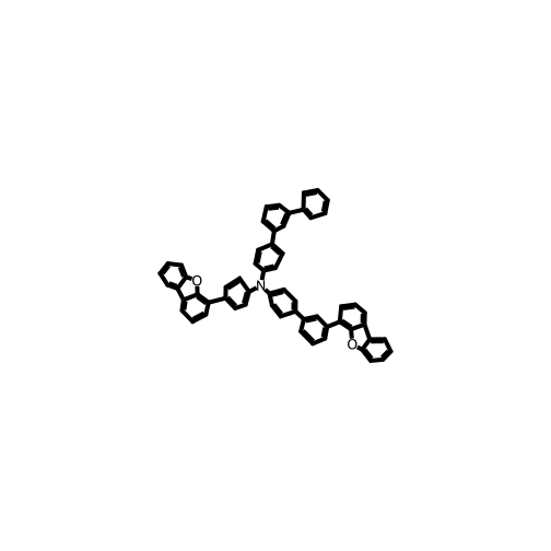 c1ccc(-c2cccc(-c3ccc(N(c4ccc(-c5cccc(-c6cccc7c6oc6ccccc67)c5)cc4)c4ccc(-c5cccc6c5oc5ccccc56)cc4)cc3)c2)cc1